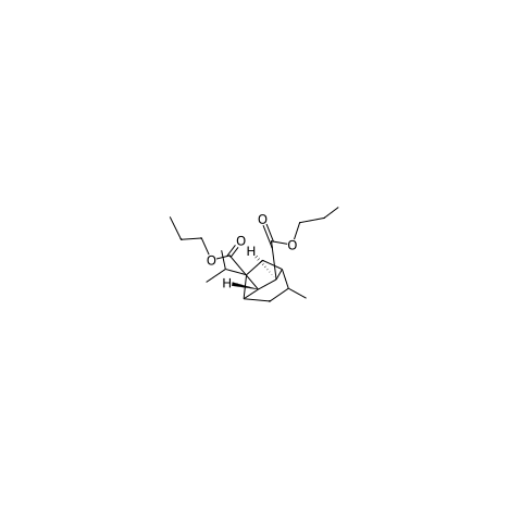 CCCOC(=O)[C@H]1C2CC(C(C)C)C(CC2C)[C@@H]1C(=O)OCCC